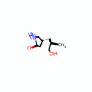 C=C(CO)C[C@H]1CNC(=O)C1